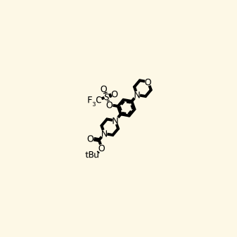 CC(C)(C)OC(=O)N1CCN(c2ccc(N3CCOCC3)cc2OS(=O)(=O)C(F)(F)F)CC1